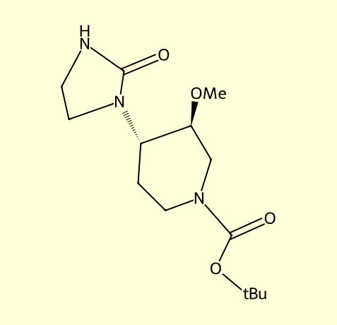 CO[C@H]1CN(C(=O)OC(C)(C)C)CC[C@@H]1N1CCNC1=O